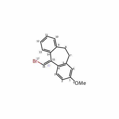 COc1ccc2c(c1)CCc1ccccc1/C2=C\Br